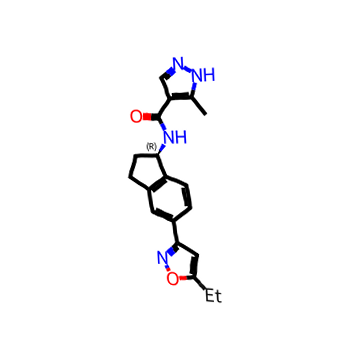 CCc1cc(-c2ccc3c(c2)CC[C@H]3NC(=O)c2cn[nH]c2C)no1